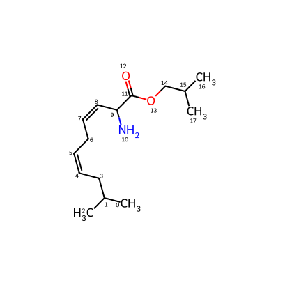 CC(C)C/C=C\C/C=C\C(N)C(=O)OCC(C)C